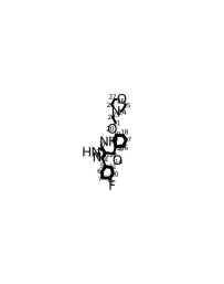 Nc1[nH]nc(-c2ccc(F)cc2)c1C(=O)c1cccc(OCCN2CCOCC2)c1